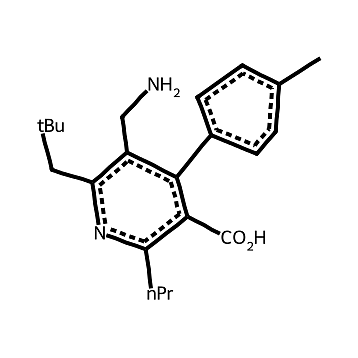 CCCc1nc(CC(C)(C)C)c(CN)c(-c2ccc(C)cc2)c1C(=O)O